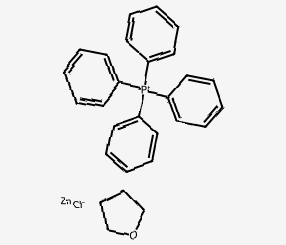 C1CCOC1.[Cl-].[Zn].c1ccc([P+](c2ccccc2)(c2ccccc2)c2ccccc2)cc1